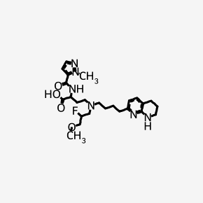 COCC(F)CN(CCCCc1ccc2c(n1)NCCC2)CCC(NC(=O)c1ccnn1C)C(=O)O